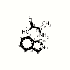 C[C@H](N)C(=O)O.c1ccc2oncc2c1